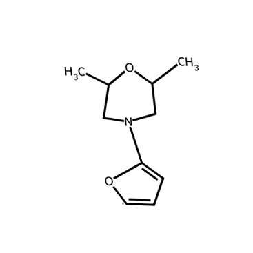 CC1CN(c2cc[c]o2)CC(C)O1